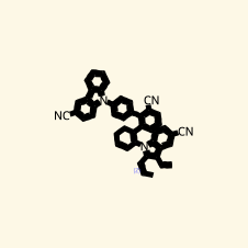 C=Cc1c(/C=C\C)n(C2=C(c3cccc(C#N)c3-c3ccc(-n4c5ccccc5c5cc(C#N)ccc54)cc3)CCC=C2)c2ccc(C#N)cc12